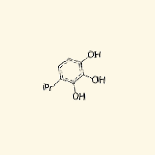 CC(C)c1ccc(O)c(O)c1O